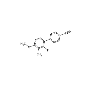 COc1ccc(-c2ccc(C#N)cc2)c(F)c1C